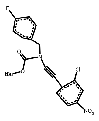 CC(C)(C)OC(=O)N(C#Cc1ccc([N+](=O)[O-])cc1Cl)Cc1ccc(F)cc1